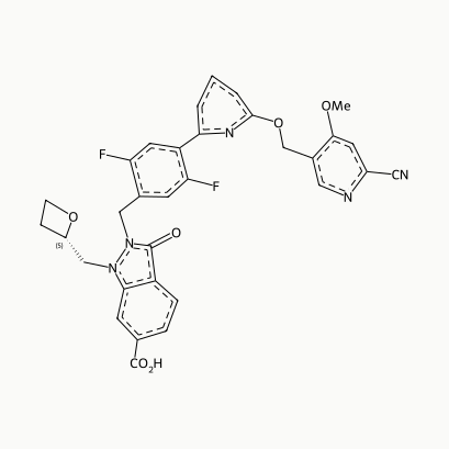 COc1cc(C#N)ncc1COc1cccc(-c2cc(F)c(Cn3c(=O)c4ccc(C(=O)O)cc4n3C[C@@H]3CCO3)cc2F)n1